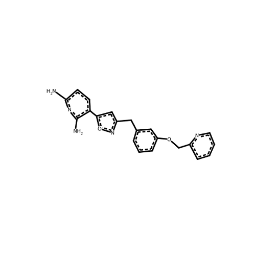 Nc1ccc(-c2cc(Cc3cccc(OCc4ccccn4)c3)no2)c(N)n1